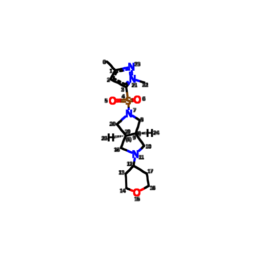 Cc1cc(S(=O)(=O)N2C[C@H]3CN(C4CCOCC4)C[C@H]3C2)n(C)n1